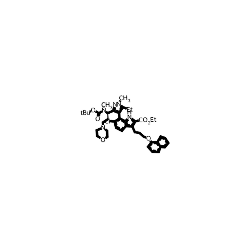 CCOC(=O)c1[nH]c2c(-c3c([C@@H](CCN4CCOCC4)N(C)C(=O)OC(C)(C)C)nn(C)c3CC)c(Cl)ccc2c1CCCOc1cccc2ccccc12